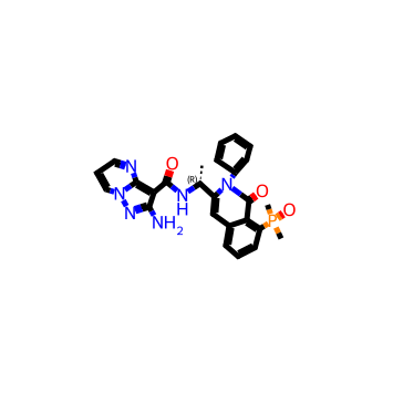 C[C@@H](NC(=O)c1c(N)nn2cccnc12)c1cc2cccc(P(C)(C)=O)c2c(=O)n1-c1ccccc1